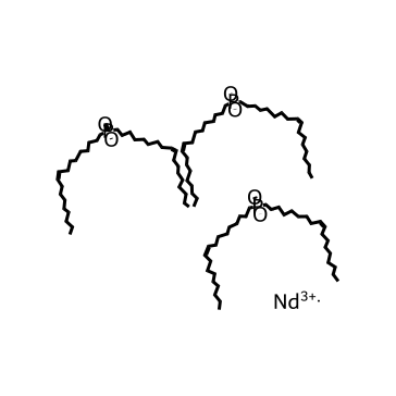 CCCCCCCC/C=C\CCCCCCCCP(=O)([O-])CCCCCCCC/C=C\CCCCCCCC.CCCCCCCC/C=C\CCCCCCCCP(=O)([O-])CCCCCCCC/C=C\CCCCCCCC.CCCCCCCC/C=C\CCCCCCCCP(=O)([O-])CCCCCCCC/C=C\CCCCCCCC.[Nd+3]